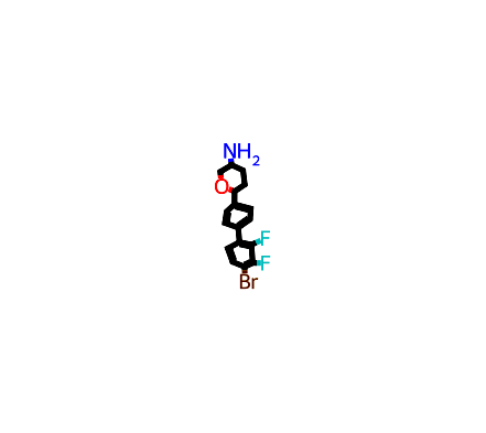 NC1CCC(c2ccc(-c3ccc(Br)c(F)c3F)cc2)OC1